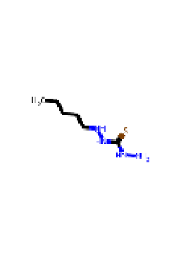 CCCCCNNC(=S)NN